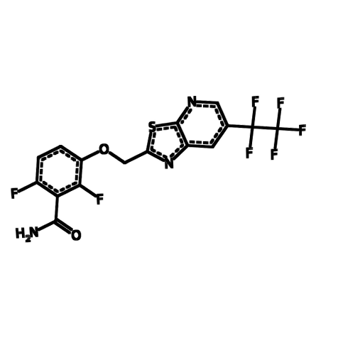 NC(=O)c1c(F)ccc(OCc2nc3cc(C(F)(F)C(F)(F)F)cnc3s2)c1F